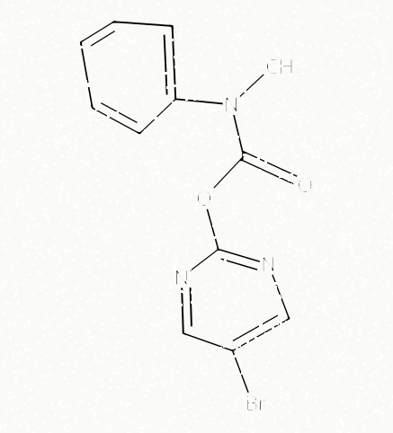 CN(C(=O)Oc1ncc(Br)cn1)c1ccccc1